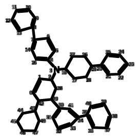 C1=CC(N(c2ccc(-c3ccccc3)cc2)C2CCC(c3ccccc3)CC2)CC(c2cccc(-c3ccccc3)c2)C1C1CCCCC1